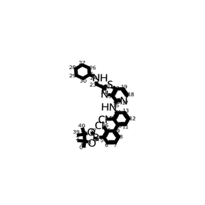 CC1(C)OB(c2cccc(-c3cccc(Nc4nccc5sc(CNC6CCCCC6)nc45)c3Cl)c2Cl)OC1(C)C